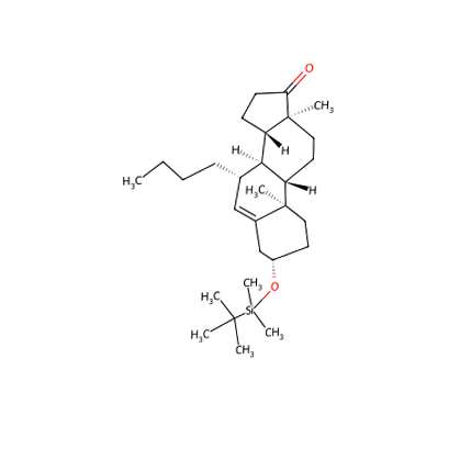 CCCC[C@H]1C=C2C[C@@H](O[Si](C)(C)C(C)(C)C)CC[C@]2(C)[C@H]2CC[C@]3(C)C(=O)CC[C@H]3[C@H]12